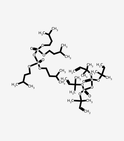 C=CC(C)(C)OP(=O)(OC(C)(C)C=C)OP(=O)(OC(C)(C)C=C)OC(C)(C)C=C.CC(C)CCOP(=O)(OCCC(C)C)OP(=O)(OCCC(C)C)OCCC(C)C